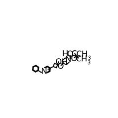 CC(C)(C)OC(=O)N1CCC(OC2(O)CC(c3cc[n+](Cc4ccccc4)cc3)C2)CC1